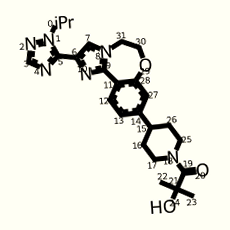 CC(C)n1ncnc1-c1cn2c(n1)-c1ccc(C3CCN(C(=O)C(C)(C)O)CC3)cc1OCC2